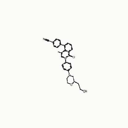 Cc1cn(-c2ccc(N3CCOC(CCO)C3)cc2)c(=O)c2cccc(-c3ccc(C#N)cc3)c12